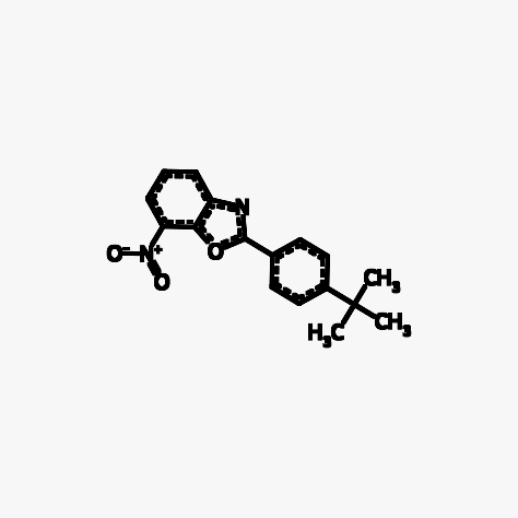 CC(C)(C)c1ccc(-c2nc3cccc([N+](=O)[O-])c3o2)cc1